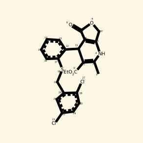 CCOC(=O)C1=C(C)NC2=C(C(=O)OC2)C1c1ccccc1SCc1cc(Cl)ccc1Cl